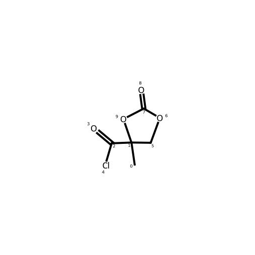 CC1(C(=O)Cl)COC(=O)O1